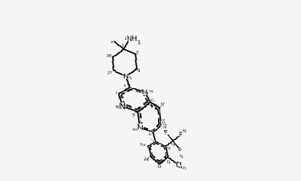 CC1(N)CCN(c2cnc3nc(-c4cccc(Cl)c4C(F)(F)F)ccc3n2)CC1